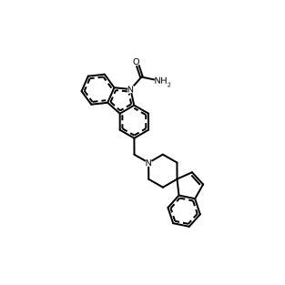 NC(=O)n1c2ccccc2c2cc(CN3CCC4(C=Cc5ccccc54)CC3)ccc21